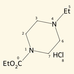 CCOC(=O)N1CCN(CC)CC1.Cl